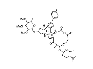 CC[C@H]1CCC[C@H](O[C@H]2CC[C@H](N(C)C)C(C)O2)[C@@H](C)C(=O)C2=C[C@H]3[C@@H]4C[C@H](O[C@@H]5OC(C)[C@H](OC)C(OC)C5OC)C[C@H]4c4nc(-c5ccc(C)cc5)sc4[C@H]3[C@@H]2CC(=O)O1